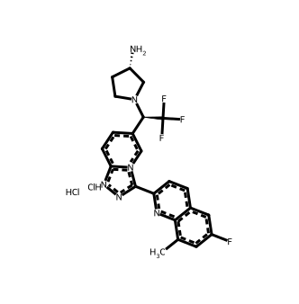 Cc1cc(F)cc2ccc(-c3nnc4ccc([C@@H](N5CC[C@H](N)C5)C(F)(F)F)cn34)nc12.Cl.Cl